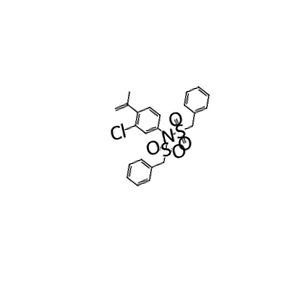 C=C(C)c1ccc(N(S(=O)(=O)Cc2ccccc2)S(=O)(=O)Cc2ccccc2)cc1Cl